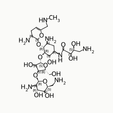 CNCC1=CC[C@@H](N)[C@@H](O[C@H]2[C@H](O[C@@H]3O[C@H](CO)[C@@H](O[C@H]4O[C@@H](CN)[C@@H](O)[C@H](O)[C@H]4N)[C@H]3O)[C@@H](O)[C@H](NC(=O)[C@@H](O)[C@@H](O)CN)C[C@@H]2N)O1